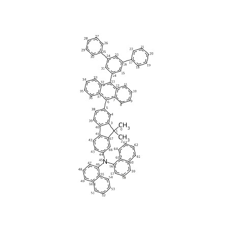 CC1(C)c2cc(-c3c4ccccc4c(-c4cc(-c5ccccc5)cc(-c5ccccc5)c4)c4ccccc34)ccc2-c2ccc(N(c3cccc4ccccc34)c3cccc4ccccc34)cc21